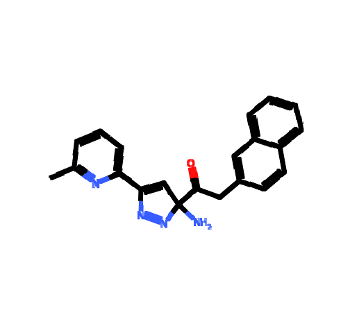 Cc1cccc(C2=CC(N)(C(=O)Cc3ccc4ccccc4c3)N=N2)n1